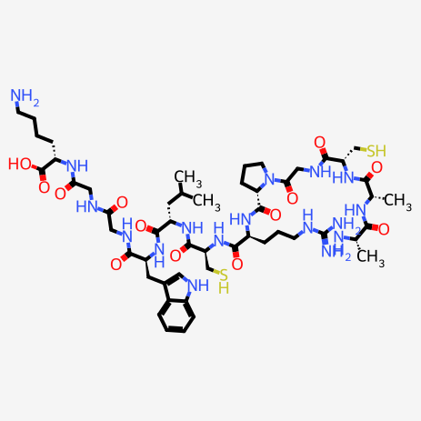 CC(C)C[C@H](NC(=O)[C@H](CS)NC(=O)[C@H](CCCNC(=N)N)NC(=O)[C@@H]1CCCN1C(=O)CNC(=O)[C@H](CS)NC(=O)[C@H](C)NC(=O)[C@H](C)N)C(=O)N[C@@H](Cc1c[nH]c2ccccc12)C(=O)NCC(=O)NCC(=O)N[C@@H](CCCCN)C(=O)O